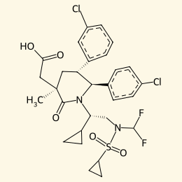 C[C@]1(CC(=O)O)C[C@H](c2cccc(Cl)c2)[C@@H](c2ccc(Cl)cc2)N([C@H](CN(C(F)F)S(=O)(=O)C2CC2)C2CC2)C1=O